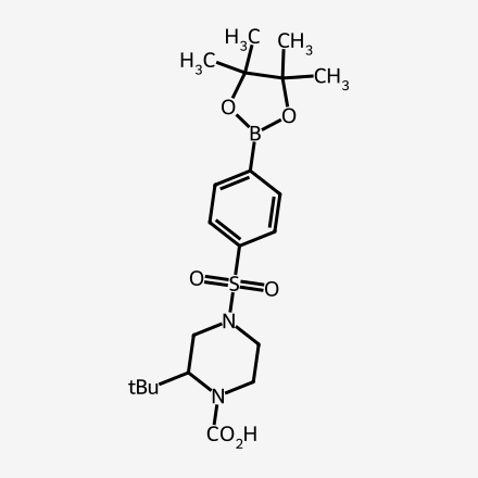 CC(C)(C)C1CN(S(=O)(=O)c2ccc(B3OC(C)(C)C(C)(C)O3)cc2)CCN1C(=O)O